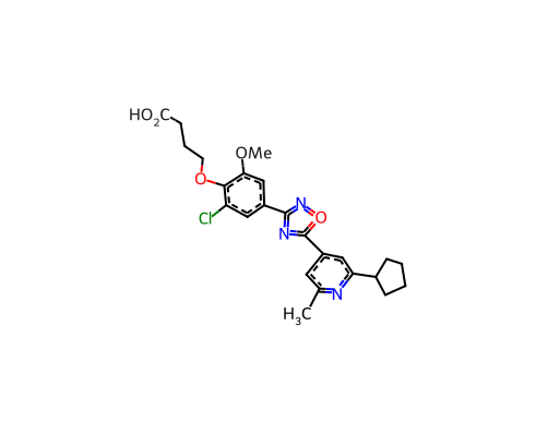 COc1cc(-c2noc(-c3cc(C)nc(C4CCCC4)c3)n2)cc(Cl)c1OCCCC(=O)O